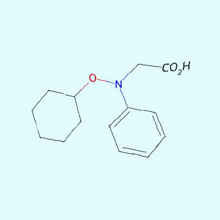 O=C(O)CN(OC1CCCCC1)c1ccccc1